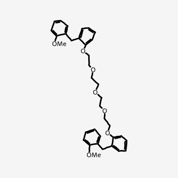 COc1ccccc1Cc1ccccc1OCCOCCOCCOCCOc1ccccc1Cc1ccccc1OC